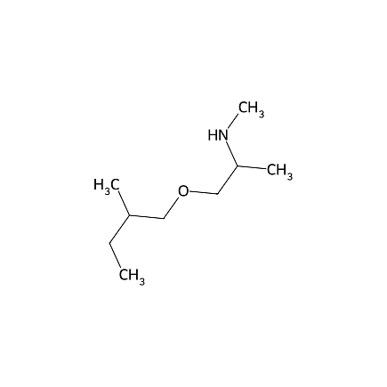 CCC(C)COCC(C)NC